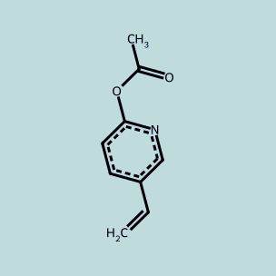 C=Cc1ccc(OC(C)=O)nc1